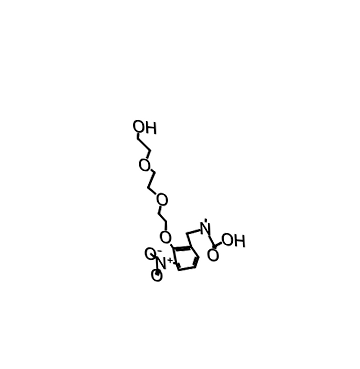 CN(Cc1cccc([N+](=O)[O-])c1OCCOCCOCCO)C(=O)O